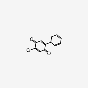 O=C1C=C(C2C=CC=CC2)C(=O)C=C1Cl